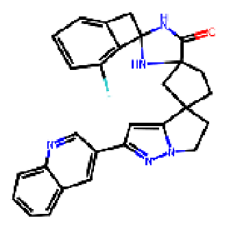 O=C1NC2(Cc3cccc(F)c32)NC12CCC1(CCn3nc(-c4cnc5ccccc5c4)cc31)C2